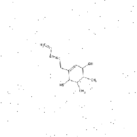 C=C/C=C/CC1=CC(O)C(C)C(C)C1S